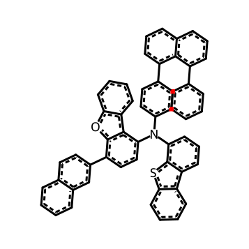 c1ccc(-c2cccc3cccc(-c4ccc(N(c5cccc6c5sc5ccccc56)c5ccc(-c6ccc7ccccc7c6)c6oc7ccccc7c56)cc4)c23)cc1